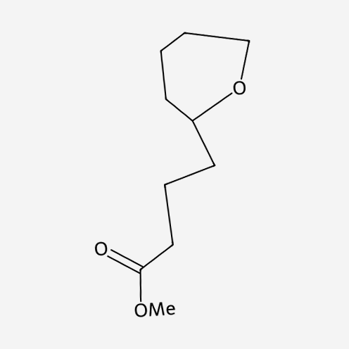 COC(=O)CCCC1CCCCO1